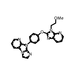 COCCn1c(Oc2ccc(-n3c4ncccc4n4ccnc34)cc2)nc2cccnc21